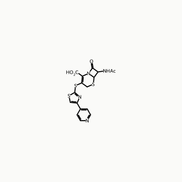 CC(=O)NC1C(=O)N2C(C(=O)O)=C(Sc3nc(-c4ccncc4)cs3)CSC12